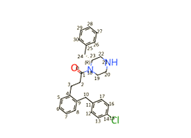 O=C(CCc1ccccc1Cc1ccc(Cl)cc1)N1CCNC[C@H]1Cc1ccccc1